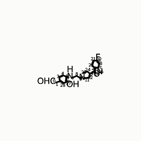 O=CCc1ccc(NCCCN2CCC(c3onc4cc(F)ccc34)CC2)c(O)c1